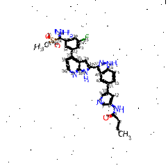 CCCC(=O)Nc1cncc(-c2ccc3[nH]nc(-c4cc5c(-c6cc(F)cc(C(N)S(C)(=O)=O)c6)ccnc5[nH]4)c3c2)c1